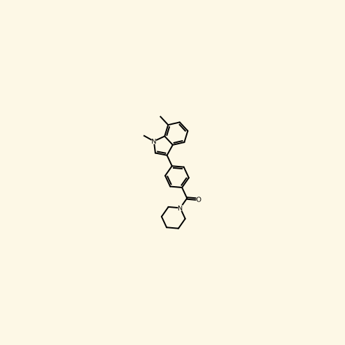 Cc1cccc2c(-c3ccc(C(=O)N4CCCCC4)cc3)cn(C)c12